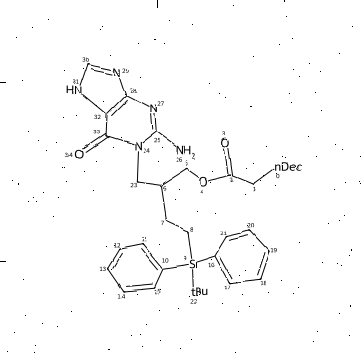 CCCCCCCCCCCC(=O)OCC(CC[Si](c1ccccc1)(c1ccccc1)C(C)(C)C)Cn1c(N)nc2nc[nH]c2c1=O